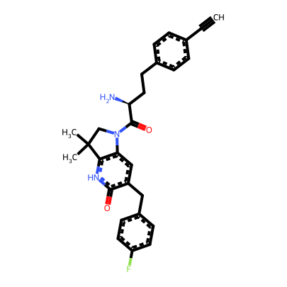 C#Cc1ccc(CC[C@H](N)C(=O)N2CC(C)(C)c3[nH]c(=O)c(Cc4ccc(F)cc4)cc32)cc1